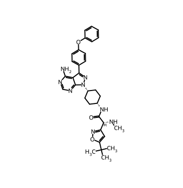 CN[C@@H](C(=O)N[C@H]1CC[C@@H](n2nc(-c3ccc(Oc4ccccc4)cc3)c3c(N)ncnc32)CC1)c1cc(C(C)(C)C)on1